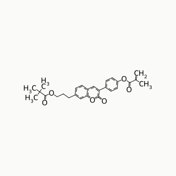 C=C(C)C(=O)Oc1ccc(-c2cc3ccc(CCCOC(=O)C(C)(C)C)cc3oc2=O)cc1